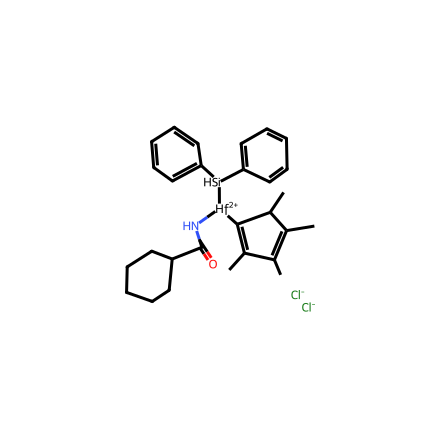 CC1=C(C)C(C)[C]([Hf+2]([NH]C(=O)C2CCCCC2)[SiH](c2ccccc2)c2ccccc2)=C1C.[Cl-].[Cl-]